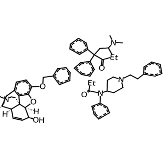 CCC(=O)C(CC(C)N(C)C)(c1ccccc1)c1ccccc1.CCC(=O)N(c1ccccc1)C1CCN(CCc2ccccc2)CC1.CN1CC[C@]23c4c5ccc(OCc6ccccc6)c4O[C@H]2[C@@H](O)C=C[C@H]3[C@H]1C5